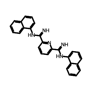 N=C(Nc1cccc2ccccc12)c1cccc(C(=N)Nc2cccc3ccccc23)n1